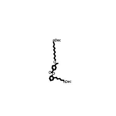 CCCCCCCCCCCCCCCCCCCCOC(C)c1ccc(C(=O)Oc2ccccc2CCCCCCCCCCCCCCC)cc1